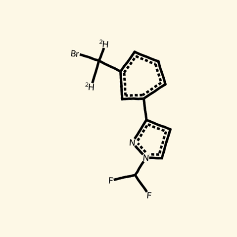 [2H]C([2H])(Br)c1cccc(-c2ccn(C(F)F)n2)c1